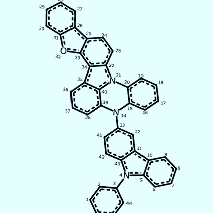 c1ccc(-n2c3ccccc3c3cc(N4c5ccccc5-n5c6ccc7c8ccccc8oc7c6c6cccc4c65)ccc32)cc1